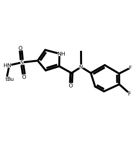 CN(C(=O)c1cc(S(=O)(=O)NC(C)(C)C)c[nH]1)c1ccc(F)c(F)c1